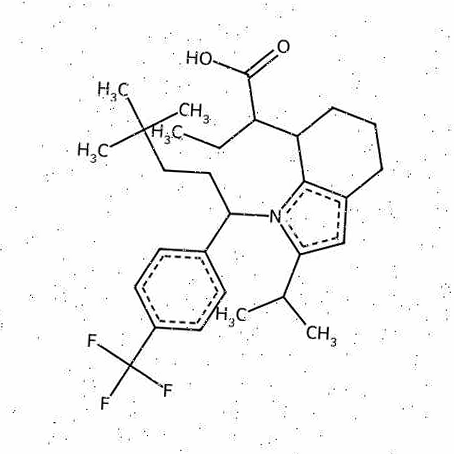 CCC(C(=O)O)C1CCCc2cc(C(C)C)n(C(CCC(C)(C)C)c3ccc(C(F)(F)F)cc3)c21